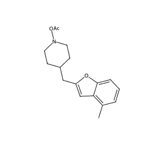 CC(=O)ON1CCC(Cc2cc3c(C)cccc3o2)CC1